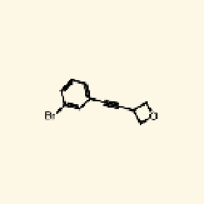 Brc1cccc(C#CC2COC2)c1